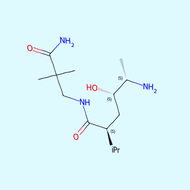 CC(C)[C@H](C[C@H](O)[C@H](C)N)C(=O)NCC(C)(C)C(N)=O